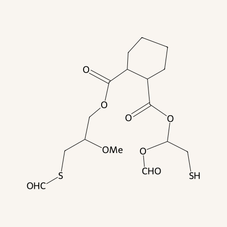 COC(COC(=O)C1CCCCC1C(=O)OC(CS)OC=O)CSC=O